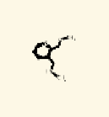 CNCc1cccnc1COC